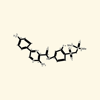 COP(=O)(CS(=O)(=O)c1ccc(NC(=O)c2nc(-c3ccc(C)cc3)cnc2N)cc1F)OC